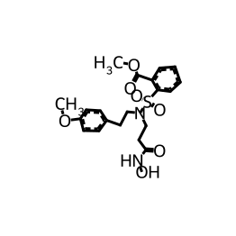 COC(=O)c1ccccc1S(=O)(=O)N(CCC(=O)NO)CCc1ccc(OC)cc1